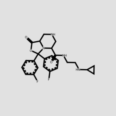 O=C(NCCNC1CC1)C1CNCC2C(=O)OC(c3cccc(F)c3)(c3cccc(F)c3)N12